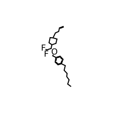 C=CCCC1CCC(C(OCc2ccc(CCCCCCC)cc2)C(F)F)CC1